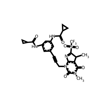 CC1C(S(=O)(=O)C(F)(F)F)=Nc2c1c(=O)n(C)c(=O)n2CC#Cc1cc(NC(=O)C2CC2)cc(NC(=O)C2CC2)c1